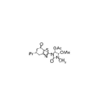 COC1C(OC(C)=O)N(c2nc3c(s2)C(=O)CC(C(C)C)C3)C(=O)N1C